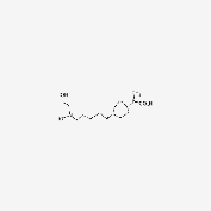 CCN(CCO)CCCCC[C@H]1CC[C@H](N(C)C(=O)O)CC1